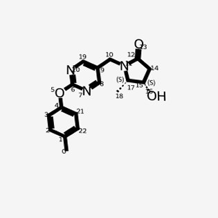 Cc1ccc(Oc2ncc(CN3C(=O)C[C@H](O)[C@@H]3C)cn2)cc1